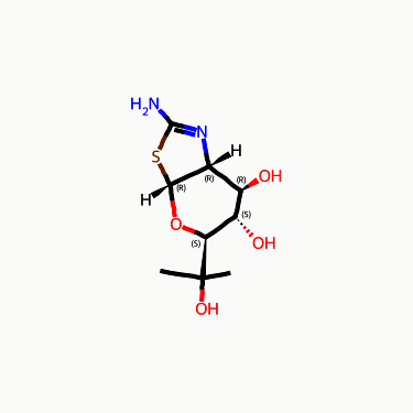 CC(C)(O)[C@H]1O[C@@H]2SC(N)=N[C@@H]2[C@@H](O)[C@@H]1O